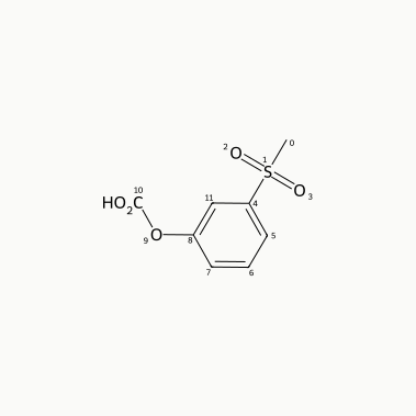 CS(=O)(=O)c1cccc(OC(=O)O)c1